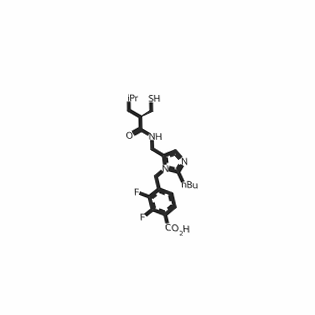 CCCCc1ncc(CNC(=O)[C@H](CS)CC(C)C)n1Cc1ccc(C(=O)O)c(F)c1F